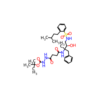 CC(C)CCc1ccccc1S(=O)(=O)NC[C@@H](O)[C@](C)(Cc1ccccc1)NC(=O)CCC(=O)NNC(=O)OC(C)(C)C